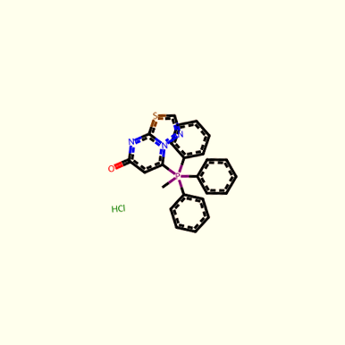 CP(c1ccccc1)(c1ccccc1)(c1ccccc1)c1cc(=O)nc2scnn12.Cl